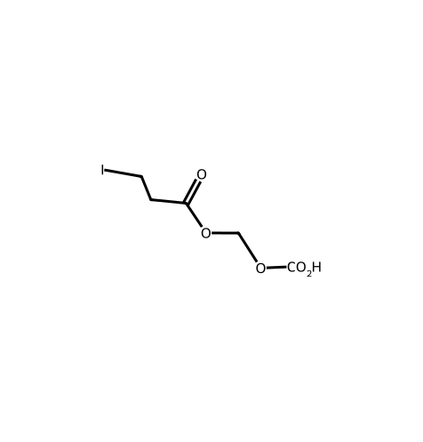 O=C(O)OCOC(=O)CCI